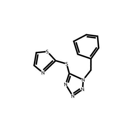 c1ccc(Cn2nnnc2Sc2nccs2)cc1